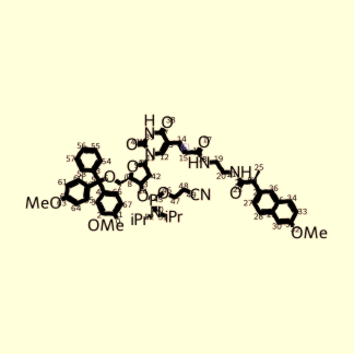 COc1ccc(C(OC[C@H]2O[C@@H](n3cc(/C=C/C(=O)NCCNC(=O)[C@@H](C)c4ccc5cc(OC)ccc5c4)c(=O)[nH]c3=O)CC2OP(OCCC#N)N(C(C)C)C(C)C)(c2ccccc2)c2ccc(OC)cc2)cc1